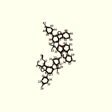 C=C/C=c1\c(=C/C)oc2c(-c3ccc(C)cc3)cc3c(c12)-c1ccc(N(c2ccc4c(c2)C(C)(C)c2cc(-c5ccc(C)cc5)c5oc6ccccc6c5c2-4)c2ccccc2-c2ccccc2)cc1C3(C)C